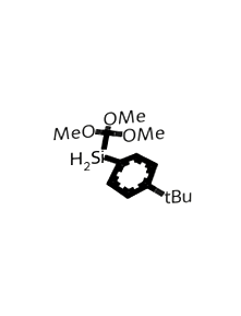 COC(OC)(OC)[SiH2]c1ccc(C(C)(C)C)cc1